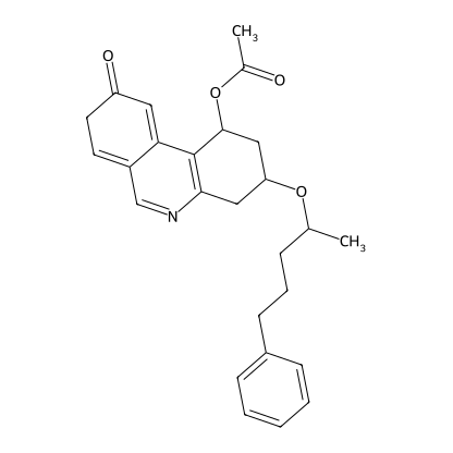 CC(=O)OC1CC(OC(C)CCCc2ccccc2)Cc2ncc3c(c21)=CC(=O)CC=3